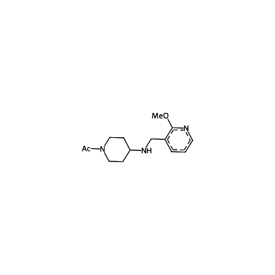 COc1ncccc1CNC1CCN(C(C)=O)CC1